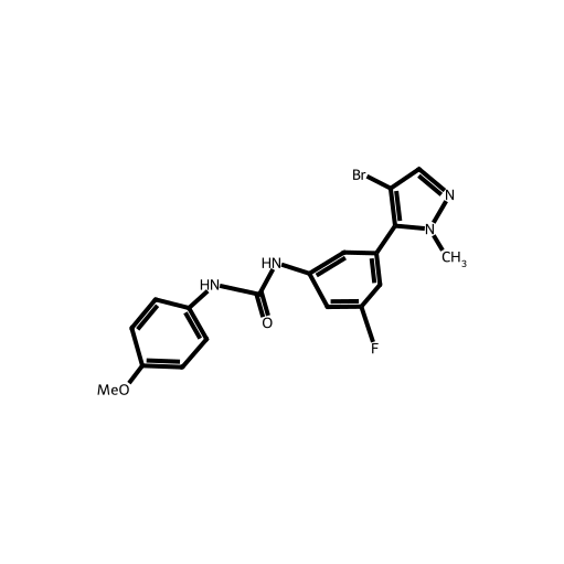 COc1ccc(NC(=O)Nc2cc(F)cc(-c3c(Br)cnn3C)c2)cc1